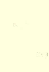 O=C(O)CCCCC(=O)N1CCCCCC1